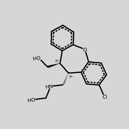 OCNC[C@H]1c2cc(Cl)ccc2Oc2ccccc2[C@@H]1CO